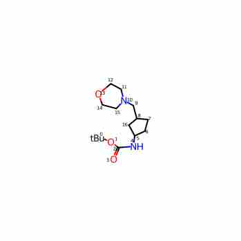 CC(C)(C)OC(=O)NC1CCC(CN2CCOCC2)C1